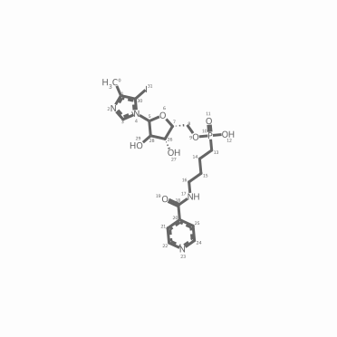 Cc1ncn(C2O[C@H](COP(=O)(O)CCCCNC(=O)c3ccncc3)[C@H](O)C2O)c1I